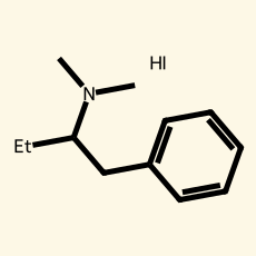 CCC(Cc1ccccc1)N(C)C.I